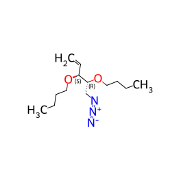 C=C[C@H](OCCCC)[C@@H](CN=[N+]=[N-])OCCCC